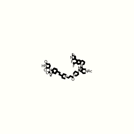 CC(=O)N1CCc2c(c(N3CCCc4cc(-c5cnn(C)c5)c(C(F)F)cc43)nn2C2CCN(C(=O)CCN3CCC(CCc4ccc5c(c4)n(C)c(=O)n5C4CCC(=O)NC4=O)CC3)CC2)C1